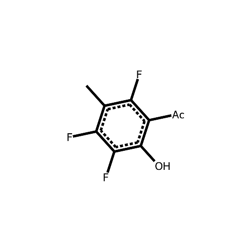 CC(=O)c1c(O)c(F)c(F)c(C)c1F